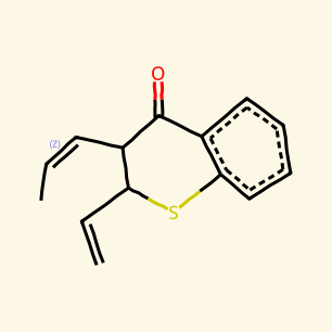 C=CC1Sc2ccccc2C(=O)C1/C=C\C